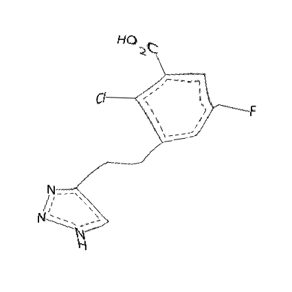 O=C(O)c1cc(F)cc(CCc2c[nH]nn2)c1Cl